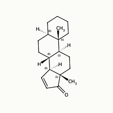 C[C@]12CCCC[C@@H]1CC[C@@H]1[C@@H]2CC[C@]2(C)C(=O)C=C[C@@H]12